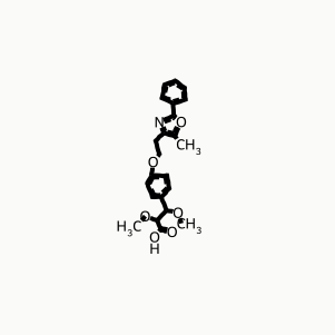 COC(C(=O)O)C(OC)c1ccc(OCCc2nc(-c3ccccc3)oc2C)cc1